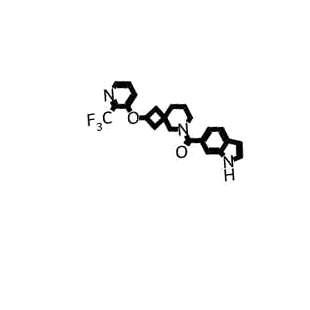 O=C(c1ccc2cc[nH]c2c1)N1CCCC2(CC(Oc3cccnc3C(F)(F)F)C2)C1